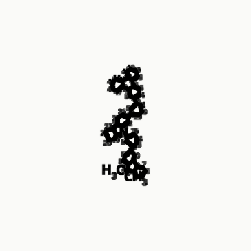 CC1(C)c2ccccc2-c2cc(-c3cccc(-n4c5ccccc5c5ccc(-c6cccc(-c7ccc8c9ccccc9c9ccccc9c8c7)c6)cc54)c3)ccc21